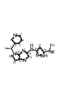 C[C@@H](c1cccnc1)n1ncc2ncc(Nc3cc(C(F)F)[nH]n3)nc21